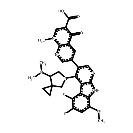 CNc1cc(F)c(F)c2c1[nH]c1ncc(-c3cnc4c(c3)c(=O)c(C(=O)O)cn4C)c(N3CC(N(C)C)C4(CC4)C3)c12